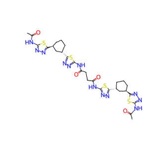 CC(=O)Nc1nnc([C@@H]2CCC[C@@H](c3nnc(NC(=O)CCC(=O)Nc4nnc([C@H]5CCC[C@H](c6nnc(NC(C)=O)s6)C5)s4)s3)C2)s1